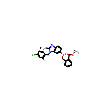 COC(=O)c1ccccc1COc1ccc2nc(C)n(Cc3ccc(Cl)cc3Cl)c2c1